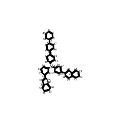 c1ccc(-c2ccc(-c3ccc(N(c4ccc(-c5ccc6ccccc6c5)cc4)c4cccc(-c5cc6ccccc6o5)c4)cc3)cc2)cc1